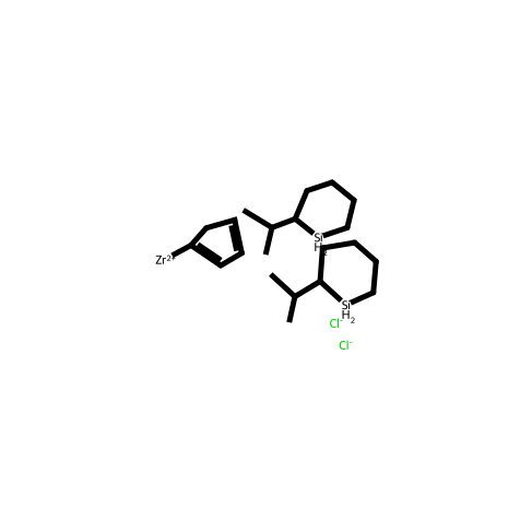 CC(C)C1CCCC[SiH2]1.CC(C)C1CCCC[SiH2]1.[Cl-].[Cl-].[Zr+2][C]1=CC=CC1